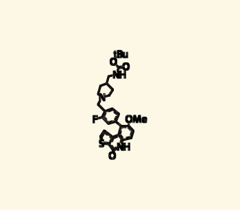 COc1ccc2[nH]c(=O)c3sccc3c2c1-c1ccc(CN2CCC(CNC(=O)OC(C)(C)C)CC2)c(F)c1